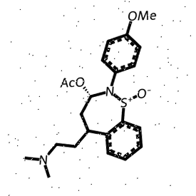 COc1ccc(N2[C@@H](OC(C)=O)CC(CCN(C)C)c3ccccc3[S+]2[O-])cc1